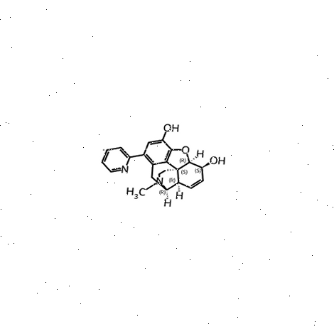 CN1CC[C@]23c4c5c(-c6c[c]ccn6)cc(O)c4O[C@H]2[C@@H](O)C=C[C@H]3[C@H]1C5